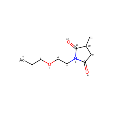 CC(=O)CCOCCN1C(=O)CC(C)C1=O